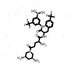 NC(CCC(=O)N1C[C@H](N)C[C@H](N)C1)C(=O)NC(Cc1ccc(C(F)(F)F)cc1)C(=O)Nc1cc(B(O)O)cc(C(F)(F)F)c1